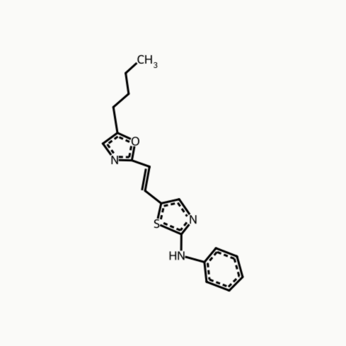 CCCCc1cnc(/C=C/c2cnc(Nc3ccccc3)s2)o1